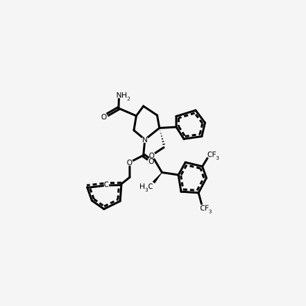 C[C@@H](OC[C@@]1(c2ccccc2)CCC(C(N)=O)CN1C(=O)OCc1ccccc1)c1cc(C(F)(F)F)cc(C(F)(F)F)c1